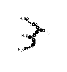 C=CC(=O)OCCCOc1ccc(Oc2ccc(N(c3ccc(OC)cc3)c3ccc(-c4ccc(N(c5ccc(OC)cc5)c5ccc(Oc6ccc(OCCCOC(=O)C=C)cc6)cc5)cc4)cc3)cc2)cc1